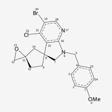 COc1ccc(CN2C[C@]3(CC[C@]4(CO4)C3)c3c2ncc(Br)c3Cl)cc1